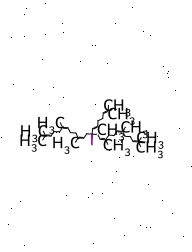 CC(C)=CCCC(C)=CCCC(C)=CCC(I)(/C=C(\C)CCC=C(C)C)CC=C(C)CCC=C(C)CCC=C(C)C